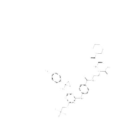 O=C(N[C@H](CCNC(=O)c1ccc(Nc2nc(NC3(c4ccc(Cl)cc4)CC3)nc(OCC(F)(F)F)n2)cc1)C(=O)O)C(=O)N1CCCCC1